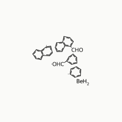 O=Cc1cccc2ccccc12.O=[C]c1ccccc1.[BeH2].[c]1cccc2ccccc12.[c]1ccccc1